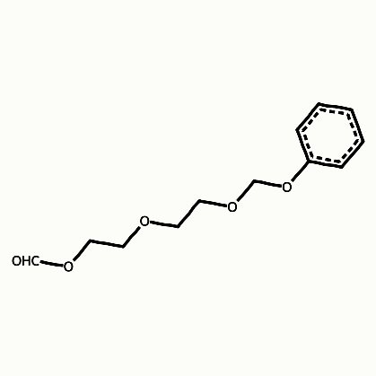 O=COCCOCCOCOc1ccccc1